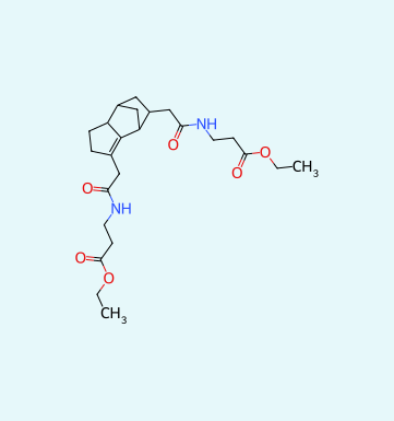 CCOC(=O)CCNC(=O)CC1=C2C(CC1)C1CC(CC(=O)NCCC(=O)OCC)C2C1